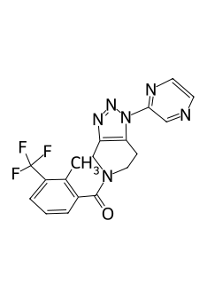 Cc1c(C(=O)N2CCc3c(nnn3-c3cnccn3)C2)cccc1C(F)(F)F